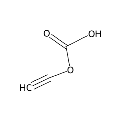 C#COC(=O)O